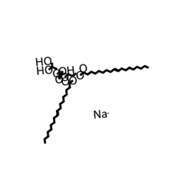 CCCCCCCC/C=C/CCCCCCCC(=O)OCC(COP(=O)(O)OCC(O)CO)OC(=O)CCCCCCC/C=C/CCCCCCCC.[Na]